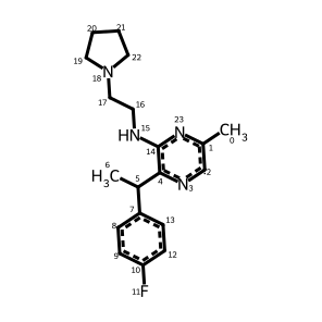 Cc1[c]nc(C(C)c2ccc(F)cc2)c(NCCN2CCCC2)n1